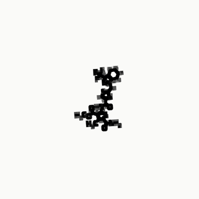 COC(=O)c1c(NC(=O)c2csc(Cn3nc(C(F)(F)F)c4c3CCCC4)n2)sc(C(N)=O)c1C